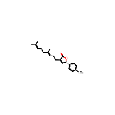 CC(C)=CCC/C(C)=C/CCC1=C[C@@H](c2ccc(C(C)(C)C)cc2)OC1=O